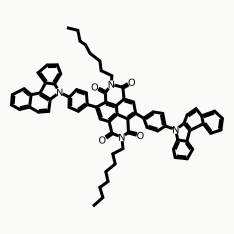 CCCCCCCCN1C(=O)c2cc(-c3ccc(-n4c5ccccc5c5c6ccccc6ccc54)cc3)c3c4c(cc(-c5ccc(-n6c7ccccc7c7c8ccccc8ccc76)cc5)c(c24)C1=O)C(=O)N(CCCCCCCC)C3=O